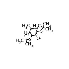 Cc1cc(SC(C)(C)C)c([O])c(SC(C)(C)C)c1